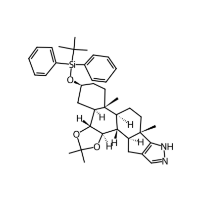 CC1(C)O[C@H]2[C@H](O1)[C@H]1C[C@@H](O[Si](c3ccccc3)(c3ccccc3)C(C)(C)C)CC[C@]1(C)[C@H]1CC[C@]3(C)c4[nH]ncc4C[C@H]3[C@H]21